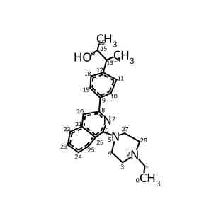 CCN1CCN(c2nc(-c3ccc(C(C)C(C)O)cc3)cc3ccccc23)CC1